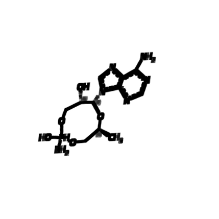 B[PH]1(O)OC[C@H](C)O[C@@H](n2cnc3c(N)ncnc32)[C@@H](O)CO1